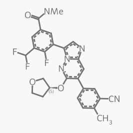 CNC(=O)c1cc(-c2cnc3cc(-c4ccc(C)c(C#N)c4)c(O[C@H]4CCOC4)nn23)c(F)c(C(F)F)c1